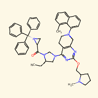 Cc1cccc2cccc(N3CCc4c(nc(OCC5CCCN5C)nc4N4CC(CC#N)N(C(=O)C5C[N@@]5C(c5ccccc5)(c5ccccc5)c5ccccc5)C4)C3)c12